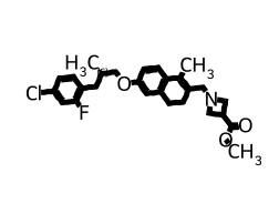 COC(=O)C1CN(CC2=C(C)c3ccc(OC[C@@H](C)Cc4ccc(Cl)cc4F)cc3CC2)C1